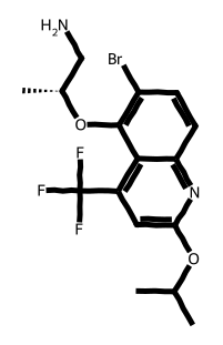 CC(C)Oc1cc(C(F)(F)F)c2c(O[C@H](C)CN)c(Br)ccc2n1